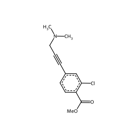 COC(=O)c1ccc(C#CCN(C)C)cc1Cl